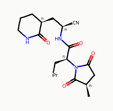 CC(C)C[C@@H](C(=O)N[C@H](C#N)C[C@@H]1CCCNC1=O)N1C(=O)C[C@@H](C)C1=O